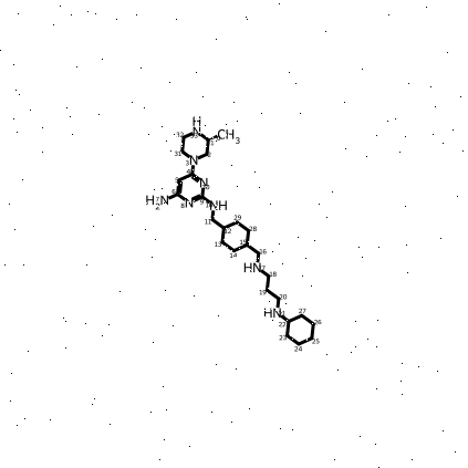 C[C@H]1CN(c2cc(N)nc(NCC3CCC(CNCCCNC4CCCCC4)CC3)n2)CCN1